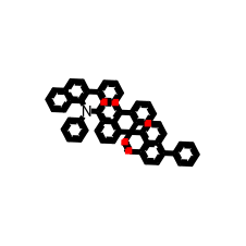 c1ccc(-c2ccc3ccccc3c2N(c2ccccc2)c2ccc3c4c(cccc24)C2(c4ccccc4-c4ccc(-c5ccccc5)c5cccc2c45)c2ccccc2-3)cc1